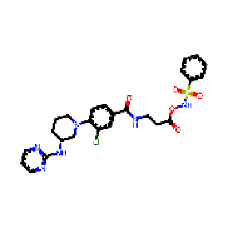 O=C(CCNC(=O)c1ccc(N2CCC[C@H](Nc3ncccn3)C2)c(Cl)c1)ONS(=O)(=O)c1ccccc1